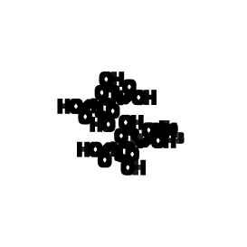 N.O=C(O)CN(CCN(CC(=O)O)CC(=O)O)CC(=O)O.O=C(O)CN(CCN(CC(=O)O)CC(=O)O)CC(=O)O.[Fe]